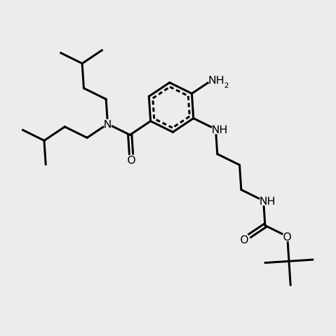 CC(C)CCN(CCC(C)C)C(=O)c1ccc(N)c(NCCCNC(=O)OC(C)(C)C)c1